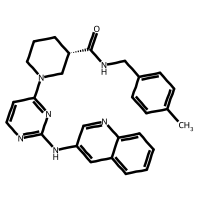 Cc1ccc(CNC(=O)[C@H]2CCCN(c3ccnc(Nc4cnc5ccccc5c4)n3)C2)cc1